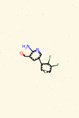 Nc1ncc(-c2cccc(F)c2F)cc1C=O